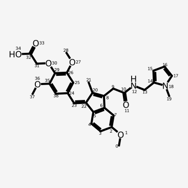 COc1ccc2c(c1)C(CC(=O)NCc1cccn1C)=C(C)C2=Cc1cc(OC)c(OCC(=O)O)c(OC)c1